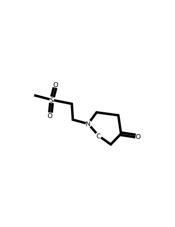 CS(=O)(=O)CCN1CCC(=O)CC1